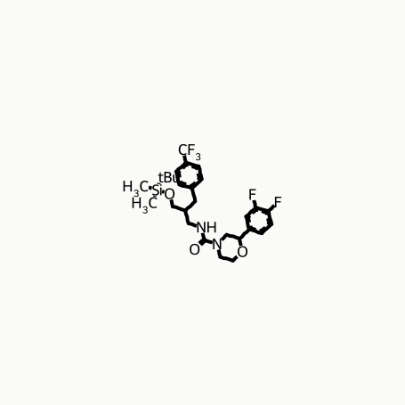 CC(C)(C)[Si](C)(C)OCC(CNC(=O)N1CCOC(c2ccc(F)c(F)c2)C1)Cc1ccc(C(F)(F)F)cc1